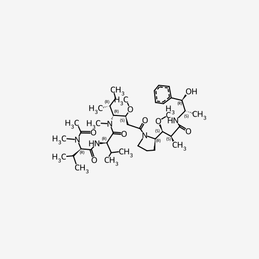 CC[C@@H](C)[C@H]([C@H](CC(=O)N1CCC[C@@H]1[C@@H](OC)[C@H](C)C(=O)N[C@@H](C)[C@H](O)c1ccccc1)OC)N(C)C(=O)[C@H](NC(=O)[C@@H](C(C)C)N(C)C(C)=O)C(C)C